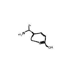 CC(C)C(N)C1C=CC(O)=NC1